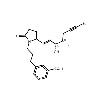 CCC#CC[C@H](C)[C@H](O)C=CC1CCC(=O)N1CCCc1cccc(C(=O)O)c1